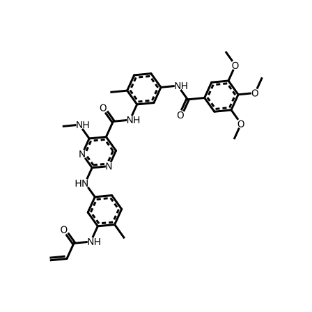 C=CC(=O)Nc1cc(Nc2ncc(C(=O)Nc3cc(NC(=O)c4cc(OC)c(OC)c(OC)c4)ccc3C)c(NC)n2)ccc1C